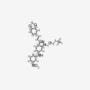 C[Si](C)(C)CCOCn1nc(/C=C/c2ccc3c(c2)OCO3)c2ccc(Nc3cccc([N+](=O)[O-])c3)cc21